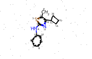 Cc1sc(Nc2ccccc2)nc1C1CCC1